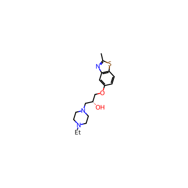 [CH2]CN1CCN(C[C@@H](O)COc2ccc3sc(C)nc3c2)CC1